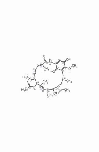 COC1=C2C[C@@H](C)C[C@H](OC)C(O)[C@@H](C)/C=C(\C)C(OC(N)=O)C(OC)/C=C\C=C(/C)C(=O)NC(=CC1=O)C2=O